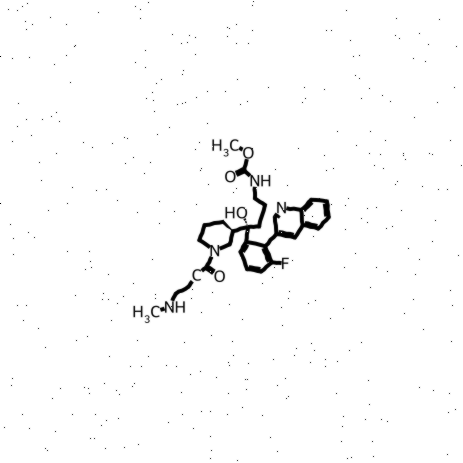 CNCCCC(=O)N1CCC[C@@H]([C@@](O)(CCCNC(=O)OC)c2cccc(F)c2-c2cnc3ccccc3c2)C1